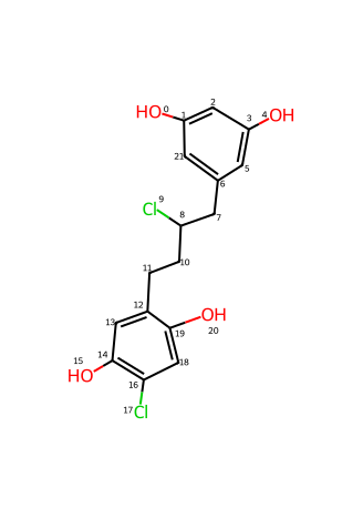 Oc1cc(O)cc(CC(Cl)CCc2cc(O)c(Cl)cc2O)c1